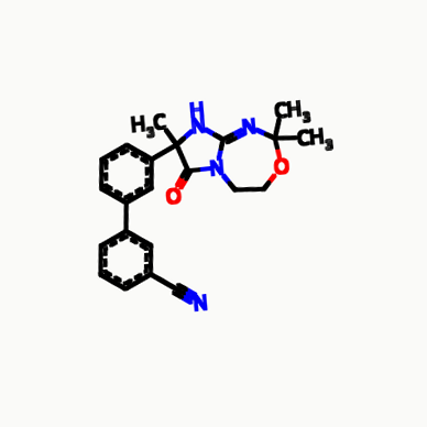 CC1(C)N=C2NC(C)(c3cccc(-c4cccc(C#N)c4)c3)C(=O)N2CCO1